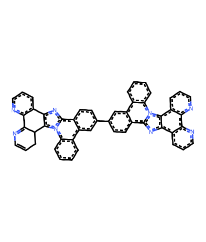 C1=CN=C2c3ncccc3-c3nc4c5ccc(-c6ccc7c(c6)c6ccccc6n6c7nc7c8cccnc8c8ncccc8c76)cc5c5ccccc5n4c3C2C1